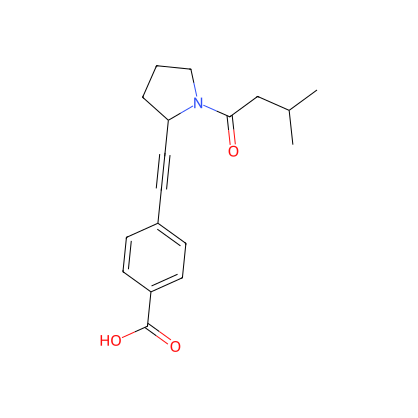 CC(C)CC(=O)N1CCCC1C#Cc1ccc(C(=O)O)cc1